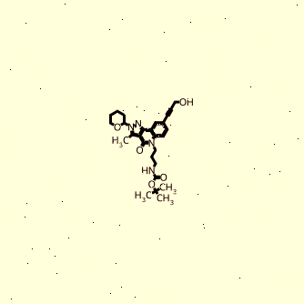 Cc1c2c(=O)n(CCCNC(=O)OC(C)(C)C)c3ccc(C#CCO)cc3c2nn1C1CCCCO1